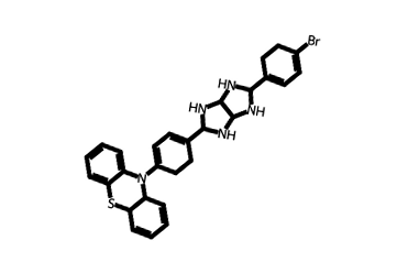 BrC1=CC=C(C2NC3NC(C4=CC=C(N5c6ccccc6SC6C=CC=CC65)CC4)NC3N2)CC1